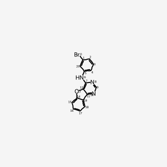 Brc1cccc(Nc2ncnc3c2oc2ccccc23)c1